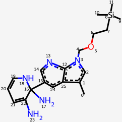 Cc1cn(COCC[Si](C)(C)C)c2ncc(C3(N)NC=CC=C3N)cc12